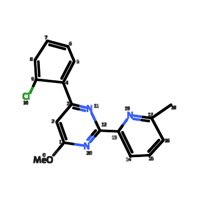 COc1cc(-c2ccccc2Cl)nc(-c2cccc(C)n2)n1